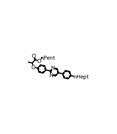 CCCCCCCc1ccc(-c2cnc(-c3ccc(OC(C)C(=O)OCCCCC)cc3)nc2)cc1